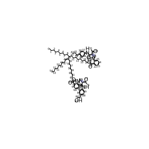 CCCCCCCCCC(CCCCCCCCOC(=O)c1ccccc1N/N=C(/C(C)=O)C(=O)Nc1ccc(CCC)cc1)C(CCCCCCCCC)CCCCCCCCOC(=O)c1ccccc1N/N=C(/C(C)=O)C(=O)Nc1ccc(CCO)cc1